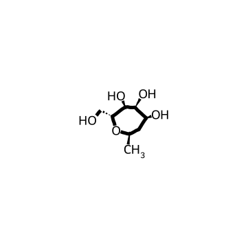 C[C@@H]1C[C@H](O)[C@H](O)[C@H](O)[C@@H](CO)O1